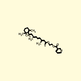 CC1=C(/C=C/C(C)=C/C=C/C(C)=C/C(=S)OCCOC(=O)c2cccnc2)C(C)(C)CCC1